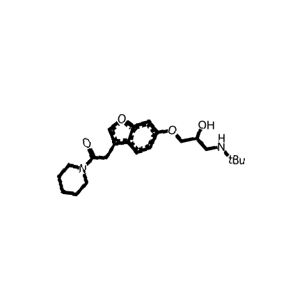 CC(C)(C)NCC(O)COc1ccc2c(CC(=O)N3CCCCC3)coc2c1